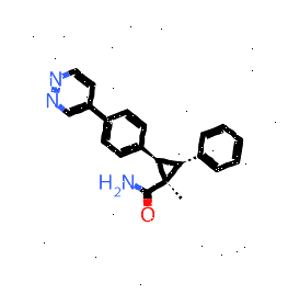 C[C@@]1(C(N)=O)[C@@H](c2ccccc2)[C@@H]1c1ccc(-c2ccnnc2)cc1